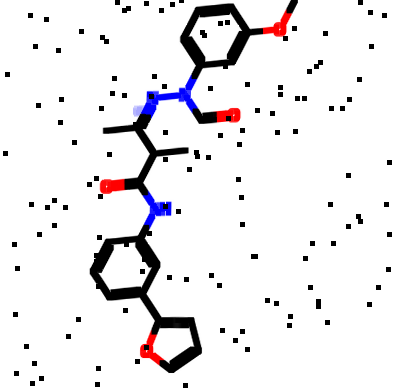 COc1cccc(N(C=O)/N=C(/C)C(C)C(=O)Nc2cccc(-c3ccco3)c2)c1